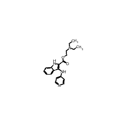 CCN(CC)CCOC(=O)c1[nH]c2ccccc2c1Nc1ccncc1